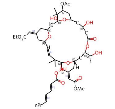 CCC/C=C/C=C/C(=O)O[C@H]1/C(=C/C(=O)OC)C[C@H]2C[C@H]([C@@H](C)O)OC(=O)C[C@H](O)CC3C[C@H](OC(C)=O)C(C)(C)[C@](O)(C[C@@H]4C/C(=C/C(=O)OCC)C[C@H](/C=C/C(C)(C)[C@]1(O)O2)O4)O3